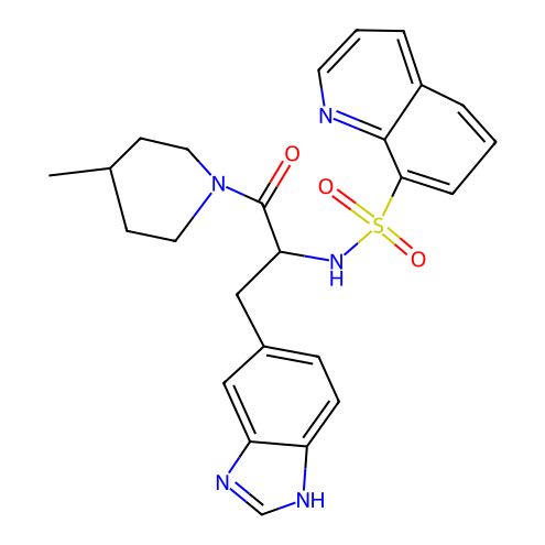 CC1CCN(C(=O)C(Cc2ccc3[nH]cnc3c2)NS(=O)(=O)c2cccc3cccnc23)CC1